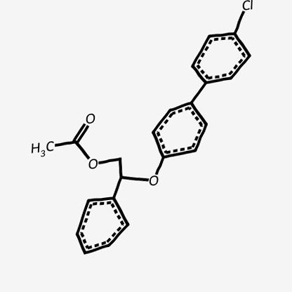 CC(=O)OCC(Oc1ccc(-c2ccc(Cl)cc2)cc1)c1ccccc1